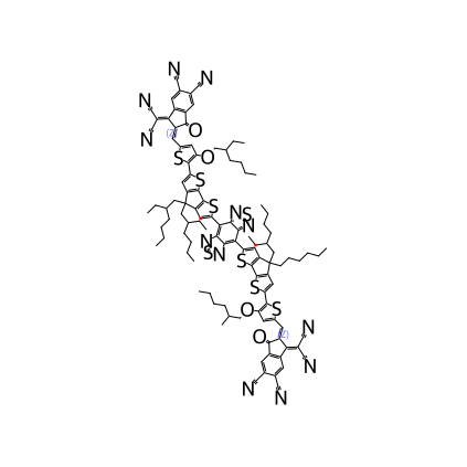 CCCCCCC1(CC(CC)CCCC)c2cc(-c3sc(/C=C4\C(=O)c5cc(C#N)c(C#N)cc5C4=C(C#N)C#N)cc3OCC(C)CCCC)sc2-c2sc(-c3c4c(c(-c5cc6c(s5)-c5sc(-c7sc(/C=C8\C(=O)c9cc(C#N)c(C#N)cc9C8=C(C#N)C#N)cc7OCC(CC)CCCC)cc5C6(CC(CC)CCCC)CC(CC)CCCC)c5nsnc35)N=S=N4)cc21